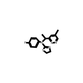 Cc1cnnc(C(C)N(C2=NCCS2)c2ccc(F)cc2)c1